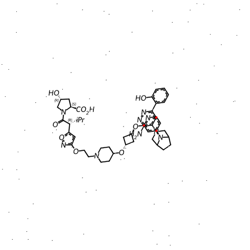 CC(C)[C@@H](C(=O)N1C[C@H](O)C[C@H]1C(=O)O)c1cc(OCCN2CCC(O[C@H]3C[C@H](Oc4cc(N5C6CCC5CN(c5cc(-c7ccccc7O)nnc5N)C6)ccn4)C3)CC2)no1